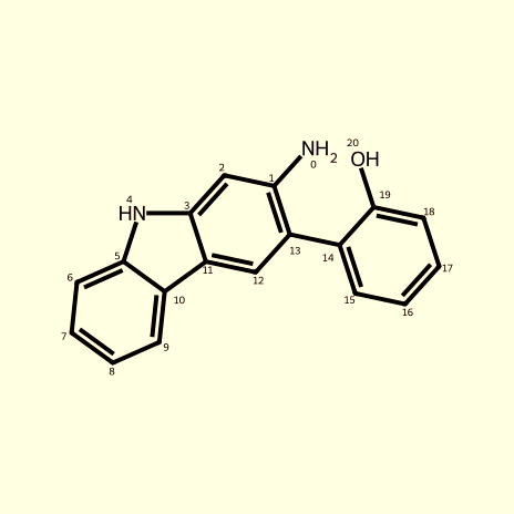 Nc1cc2[nH]c3ccccc3c2cc1-c1ccccc1O